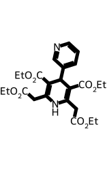 CCOC(=O)CC1=C(C(=O)OCC)C(c2cccnc2)C(C(=O)OCC)=C(CC(=O)OCC)N1